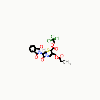 CCC(=O)OCC1=CN2C(=O)C(N3C(=O)c4ccccc4C3=O)[C@H]2SC1C(=O)OCC(Cl)(Cl)Cl